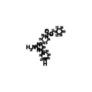 Nc1nc(C2CCN(C(=O)OCc3ccccc3)CC2)cc(N2CCCNCC2)n1